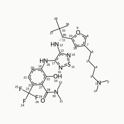 CN(C)CCCCc1coc([C@H](Nc2nsnc2Nc2ccc(C(F)(F)F)c(C(=O)N(C)C)c2O)C(C)(C)C)c1